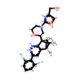 CC1(C)[C@H]2CC[C@]1([C@@H]1CN(c3nc(CO)co3)CCO1)c1nnc(-c3c(F)cccc3F)cc12